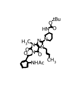 C/C=C/Cn1c(N2CCC[C@@H](NC(=O)OC(C)(C)C)C2)nc2c1c(=O)n(CC(=O)c1ccccc1NC(C)=O)c(=O)n2C